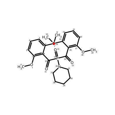 COc1cccc(OC)c1C(=O)P(=O)(C(=O)c1c(OC)cccc1OC)N1CCCCC1